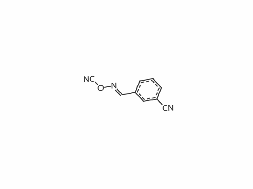 N#CON=Cc1cccc(C#N)c1